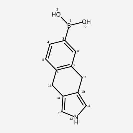 OB(O)c1ccc2c(c1)Cc1c[nH]cc1C2